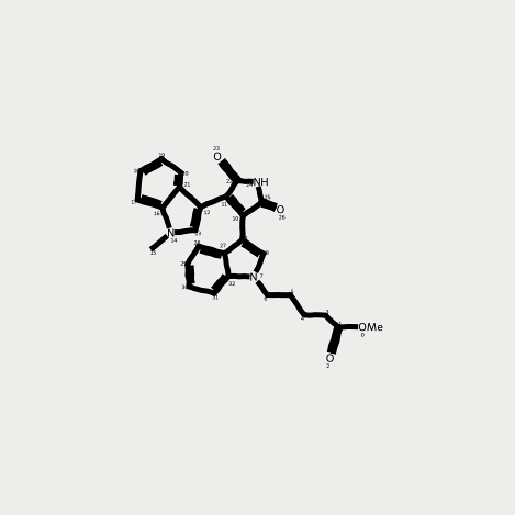 COC(=O)CCCCn1cc(C2=C(c3cn(C)c4ccccc34)C(=O)NC2=O)c2ccccc21